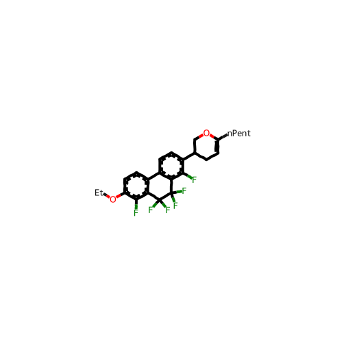 CCCCCC1=CCC(c2ccc3c(c2F)C(F)(F)C(F)(F)c2c-3ccc(OCC)c2F)CO1